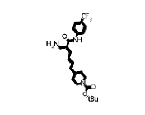 CC(C)(C)OC(=O)N1CCC(CC=C/C=C(\CN)C(=O)Nc2ccc(C(F)(F)F)cc2)CC1